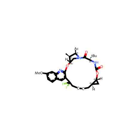 COc1ccc2cc3c(nc2c1)O[C@H]1CN(C(=O)[C@H](C(C)(C)C)NC(=O)O[C@@H]2C[C@H]2CCCCC3(F)F)[C@H](C(C)=O)[C@@H]1C